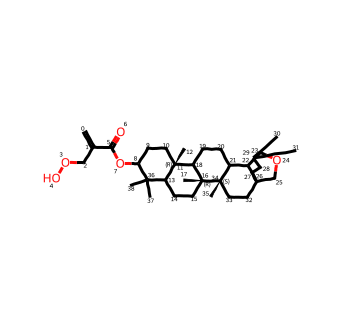 C=C(COO)C(=O)OC1CC[C@@]2(C)C(CC[C@]3(C)C2CCC2C4C5OCC4(CCC5(C)C)CC[C@@]23C)C1(C)C